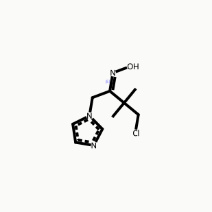 CC(C)(CCl)/C(Cn1ccnc1)=N\O